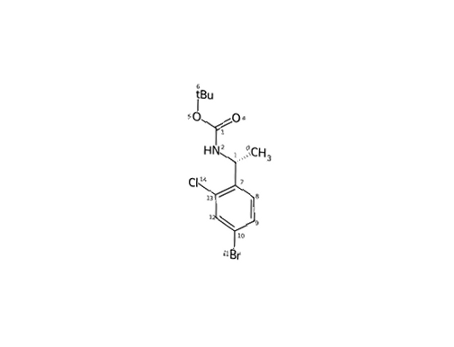 C[C@@H](NC(=O)OC(C)(C)C)c1ccc(Br)cc1Cl